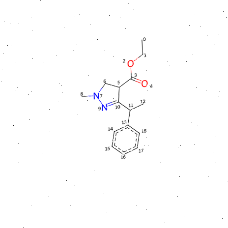 CCOC(=O)C1CN(C)N=C1C(C)c1ccccc1